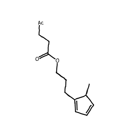 CC(=O)CCC(=O)OCCCC1=CC=CC1C